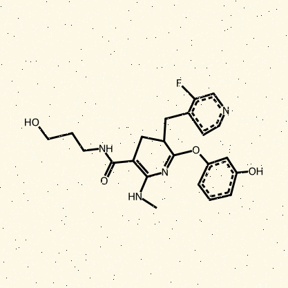 CNC1=C(C(=O)NCCCO)CC(Cc2ccncc2F)C(Oc2cccc(O)c2)=N1